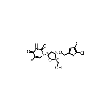 O=c1[nH]c(=O)n([C@H]2C[C@H](OCc3cc(Cl)c(Cl)s3)[C@@H](CO)O2)cc1F